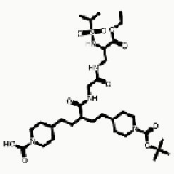 CCOC(=O)C(CNC(=O)CNC(=O)C(CCC1CCN(C(=O)O)CC1)CCC1CCN(C(=O)OC(C)(C)C)CC1)NS(=O)(=O)C(C)C